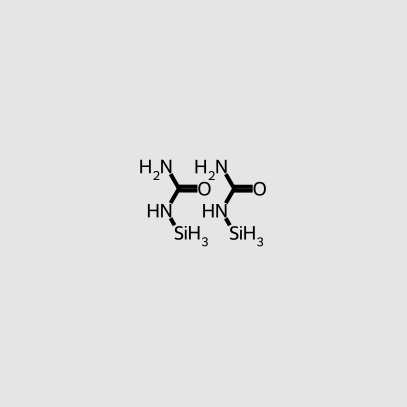 NC(=O)N[SiH3].NC(=O)N[SiH3]